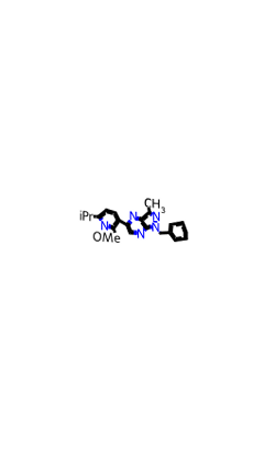 COc1nc(C(C)C)ccc1-c1cnc2c(n1)c(C)nn2Cc1ccccc1